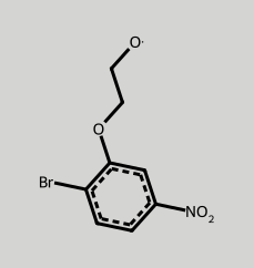 [O]CCOc1cc([N+](=O)[O-])ccc1Br